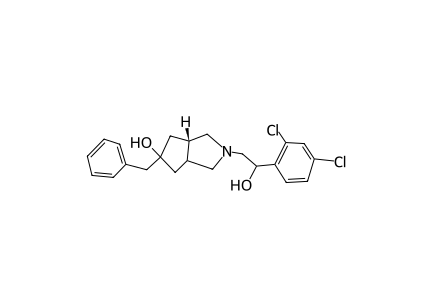 OC(CN1CC2CC(O)(Cc3ccccc3)C[C@@H]2C1)c1ccc(Cl)cc1Cl